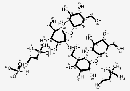 C[N+](C)(C)CCO.C[N+](C)(C)CCO.O=P([O-])([O-])O.OC[C@H]1O[C@H](O[C@H]2O[C@H](CO)[C@@H](O)[C@H](O)[C@H]2O)[C@H](O)[C@@H](O)[C@@H]1O.OC[C@H]1O[C@H](O[C@H]2O[C@H](CO)[C@@H](O)[C@H](O)[C@H]2O)[C@H](O)[C@@H](O)[C@@H]1O